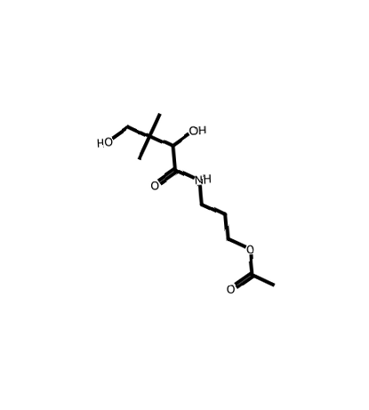 CC(=O)OCCCNC(=O)C(O)C(C)(C)CO